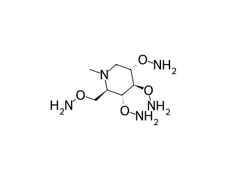 CN1C[C@H](ON)[C@@H](ON)[C@H](ON)[C@H]1CON